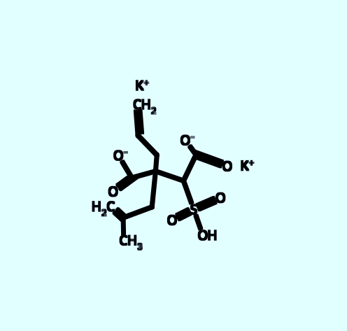 C=CCC(CC(=C)C)(C(=O)[O-])C(C(=O)[O-])S(=O)(=O)O.[K+].[K+]